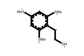 CSc1cc(SC)c(CCO)c(SC)c1